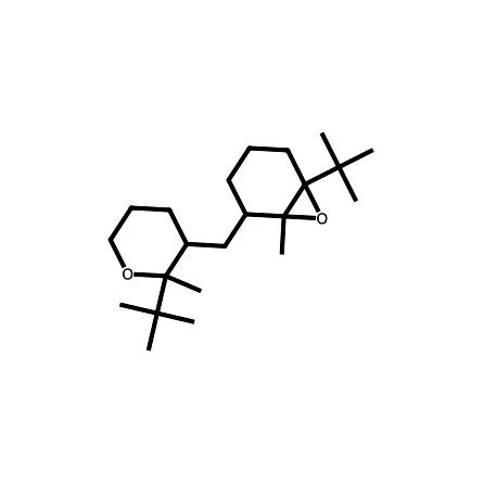 CC(C)(C)C1(C)OCCCC1CC1CCCC2(C(C)(C)C)OC12C